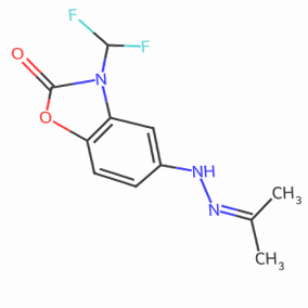 CC(C)=NNc1ccc2oc(=O)n(C(F)F)c2c1